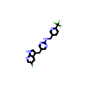 Fc1cnc2[nH]cc(Cc3cnc(NCc4ccc(C(F)(F)F)nc4)nc3)c2c1